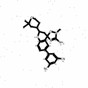 CN1OC2(CC(C3CCOC(C)(C)C3)Oc3ccc(-c4cc(C#N)cc(C#N)c4)cc32)N=C1N